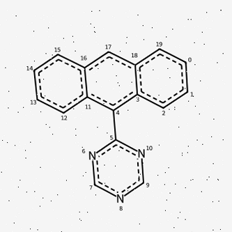 c1ccc2c(-c3ncncn3)c3ccccc3cc2c1